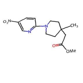 COC(=O)CC1(C)CCN(c2ccc([N+](=O)[O-])cn2)CC1